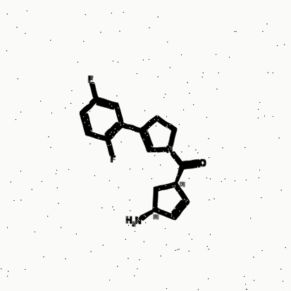 N[C@@H]1C=C[C@H](C(=O)N2C=C(c3cc(F)ccc3F)CC2)C1